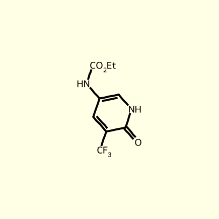 CCOC(=O)Nc1c[nH]c(=O)c(C(F)(F)F)c1